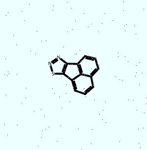 c1cc2c3c(cccc3c1)-c1snnc1-2